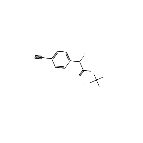 CC(C)(C)OC(=O)C(N)c1ccc(C#N)cc1